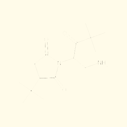 CC(C)(C)C(=O)C(CN)N1C(=O)CC(C(C)(C)C)C1=O